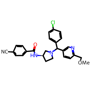 COCc1ccc(C(c2ccc(Cl)cc2)N2CC[C@@H](NC(=O)c3ccc(C#N)cc3)C2)cn1